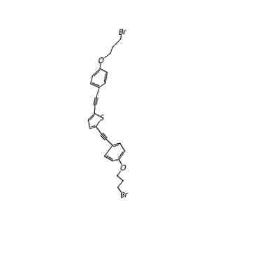 BrCCCOc1ccc(C#Cc2ccc(C#Cc3ccc(OCCCBr)cc3)s2)cc1